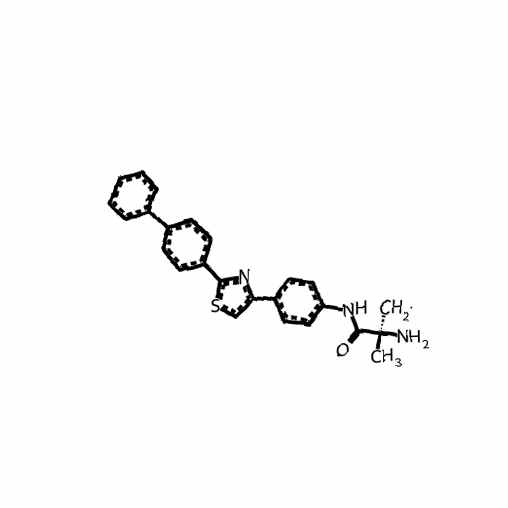 [CH2][C@@](C)(N)C(=O)Nc1ccc(-c2csc(-c3ccc(-c4ccccc4)cc3)n2)cc1